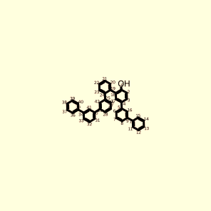 Oc1ccc(-c2cccc(-c3ccccc3)c2)cc1-c1ccccc1-c1cccc(-c2cccc(-c3ccccc3)c2)c1